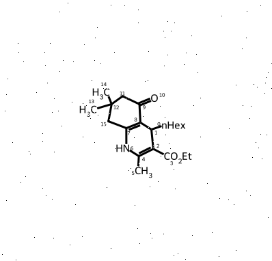 CCCCCCC1C(C(=O)OCC)=C(C)NC2=C1C(=O)CC(C)(C)C2